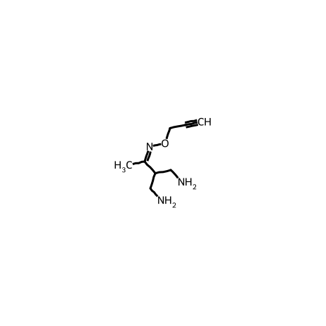 C#CCON=C(C)C(CN)CN